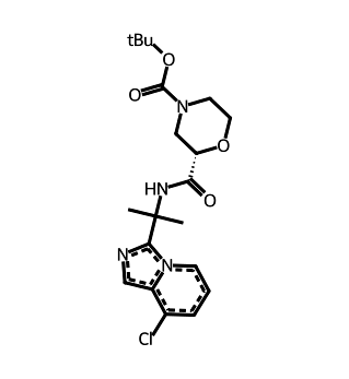 CC(C)(C)OC(=O)N1CCO[C@H](C(=O)NC(C)(C)c2ncc3c(Cl)cccn23)C1